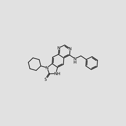 S=c1[nH]c2cc3c(NCc4ccccc4)ncnc3cc2n1C1CCCCC1